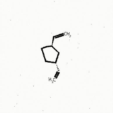 C=C[C@@H]1CC[C@@H](C=C)C1